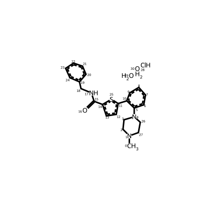 CN1CCN(c2ccccc2-c2ccc(C(=O)NCc3ccccc3)s2)CC1.Cl.O.O